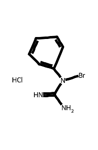 Cl.N=C(N)N(Br)c1ccccc1